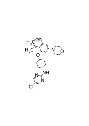 C=Nc1c(/N=C\C)cc(N2CCOCC2)cc1O[C@H]1CC[C@@H](Nc2ncc(Cl)cn2)CC1